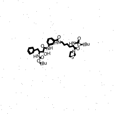 CC(C)(C)OC(=O)NC(CCCCNC(=O)c1cccc(NC(=O)C(O)C(Cc2ccccc2)NC(=O)OC(C)(C)C)c1)C(=O)N1CCSC1